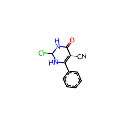 N#CC1=C(c2ccccc2)NC(Cl)NC1=O